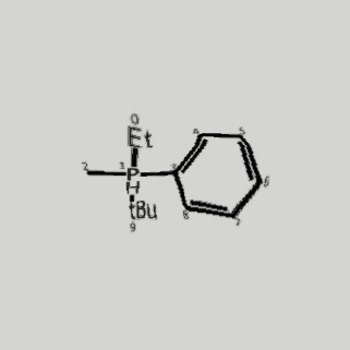 CC[PH](C)(c1ccccc1)C(C)(C)C